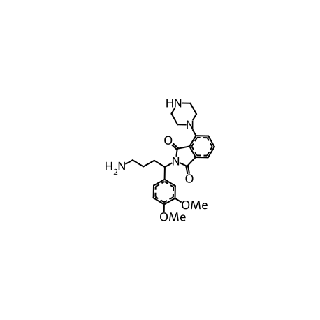 COc1ccc(C(CCCN)N2C(=O)c3cccc(N4CCNCC4)c3C2=O)cc1OC